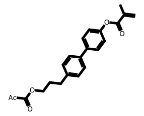 C=C(C)C(=O)Oc1ccc(-c2ccc(CCCOC(=O)C(C)=O)cc2)cc1